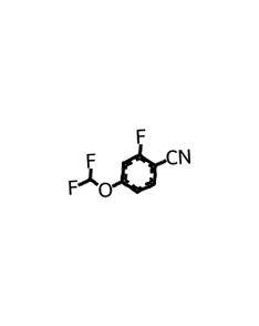 N#Cc1ccc(OC(F)F)cc1F